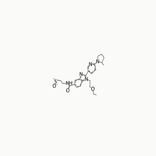 CCOCCn1c(-c2ccc(N3CCCC3C)nc2)nc2cc(C(=O)NCC[S+](C)[O-])ccc21